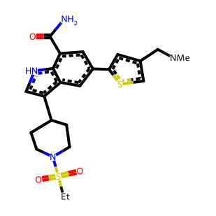 CCS(=O)(=O)N1CCC(c2c[nH]c3c(C(N)=O)cc(-c4cc(CNC)cs4)cc23)CC1